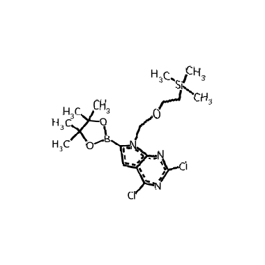 CC1(C)OB(c2cc3c(Cl)nc(Cl)nc3n2COCC[Si](C)(C)C)OC1(C)C